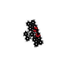 N#Cc1c(-n2c3ccccc3c3ccccc32)c(C#N)c(-n2c3ccccc3c3c4c(ccc32)-c2ccccc2C4(c2ccccc2)c2ccccc2)c(-n2c3ccccc3c3ccccc32)c1-n1c2ccccc2c2c3c(ccc21)-c1ccccc1C3(c1ccccc1)c1ccccc1